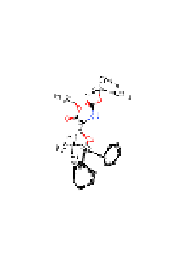 COC(=O)[C@@H](CO[Si](c1ccccc1)(c1ccccc1)C(C)(C)C)NC(=O)OC(C)(C)C